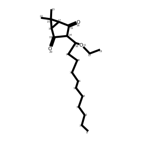 CCCCCCCCCCC(OCC)[C]1C(=O)C2C(C1=O)C2(C)C